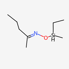 CCCC(C)=NO[SiH](C)CC